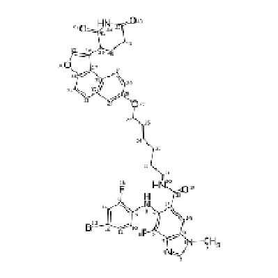 Cn1cnc2c(F)c(Nc3ccc(Br)cc3F)c(C(=O)NCCCCCCOc3ccc4c(ccc5occ(C6CCC(=O)NC6=O)c54)c3)cc21